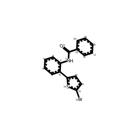 O=C(Nc1ccccc1-c1ccc(Br)s1)c1ccccc1